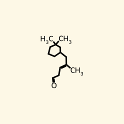 CC(=CCC=O)CC1CCCC(C)(C)C1